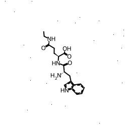 CCNC(=O)CC[C@H](NC(=O)[C@@H](N)Cc1c[nH]c2ccccc12)C(=O)O